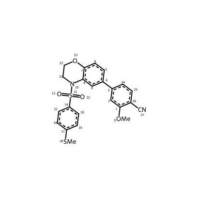 COc1cc(-c2ccc3c(c2)N(S(=O)(=O)c2ccc(SC)cc2)CCO3)ccc1C#N